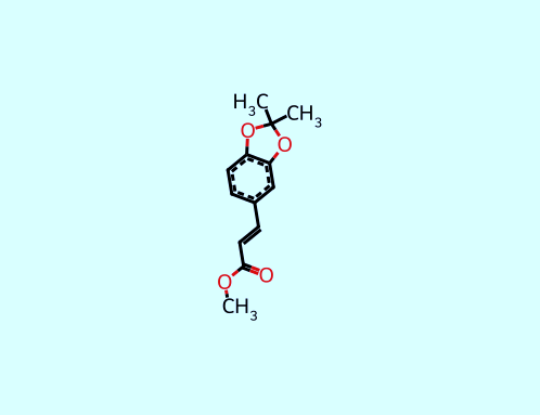 COC(=O)/C=C/c1ccc2c(c1)OC(C)(C)O2